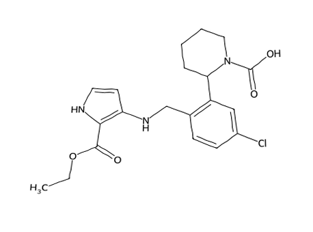 CCOC(=O)c1[nH]ccc1NCc1ccc(Cl)cc1C1CCCCN1C(=O)O